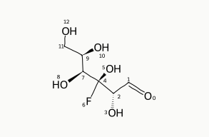 O=C[C@H](O)[C@](O)(F)[C@@H](O)[C@H](O)CO